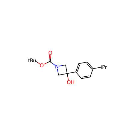 CC(C)c1ccc(C2(O)CN(C(=O)OC(C)(C)C)C2)cc1